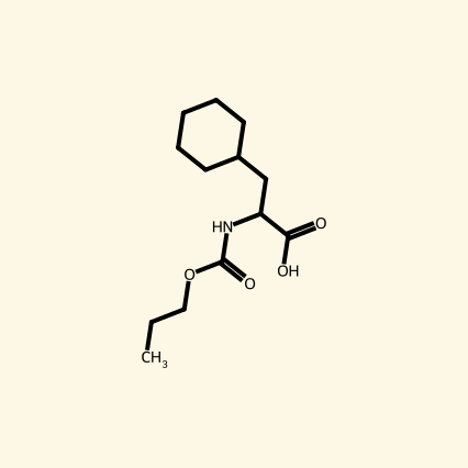 CCCOC(=O)NC(CC1CCCCC1)C(=O)O